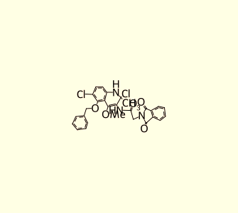 COC1=C(NC(=O)CN2C(=O)c3ccccc3C2=O)C(C)(Cl)Nc2ccc(Cl)c(OCc3ccccc3)c21